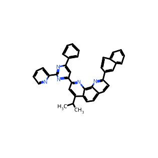 CC(C)c1cc(-c2cc(-c3ccccc3)nc(-c3ccccn3)n2)nc2c1ccc1ccc(-c3ccc4ccccc4c3)nc12